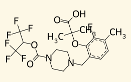 Cc1ccc(CN2CCN(C(=O)OC(C(F)(F)F)C(F)(F)F)CC2)c(OC(C)(C)C(=O)O)c1F